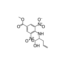 C=CCC(CO)Nc1c([N+](=O)[O-])cc(C(=O)OC)cc1[N+](=O)[O-]